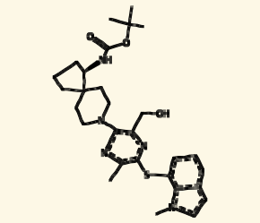 Cc1nc(N2CCC3(CCC[C@H]3NC(=O)OC(C)(C)C)CC2)c(CO)nc1Sc1cccc2ccn(C)c12